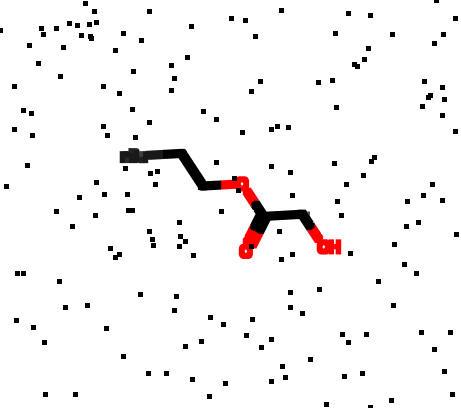 CCCCCCOC(=O)[CH]O